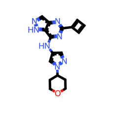 C1=CC(c2nc(Nc3cnn(C4CCOCC4)c3)c3[nH]ncc3n2)=C1